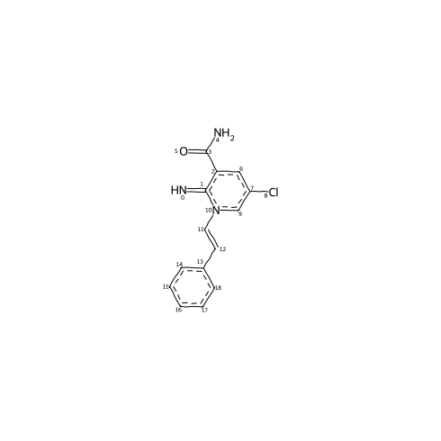 N=c1c(C(N)=O)cc(Cl)cn1C=Cc1ccccc1